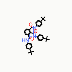 CC(C)(C)c1ccc(NC(=O)c2cccc(C(=O)Nc3ccc(C(C)(C)C)cc3)c2C(=O)Nc2ccc(C(C)(C)C)cc2)cc1